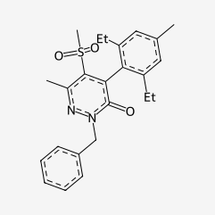 CCc1cc(C)cc(CC)c1-c1c(S(C)(=O)=O)c(C)nn(Cc2ccccc2)c1=O